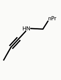 CC#CNCCCC